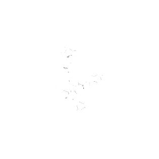 CC(C)=C(C(=O)OCc1ccccc1)N1C(=O)[C@@H](NC(=O)COc2ccccc2)[C@@H]1OCCOC(=O)COc1ccccc1